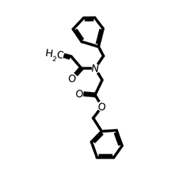 C=CC(=O)N(CC(=O)OCc1ccccc1)Cc1ccccc1